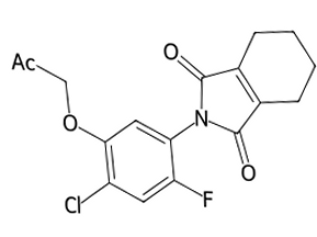 CC(=O)COc1cc(N2C(=O)C3=C(CCCC3)C2=O)c(F)cc1Cl